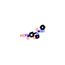 O=C(NO)C1C=CC2=C(C1)OC1CC(C1)N(C(=O)Nc1ccccc1)C2